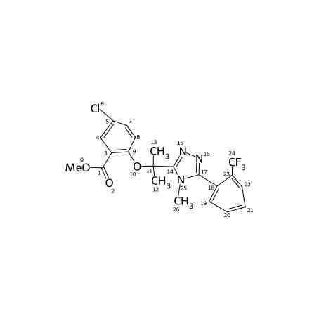 COC(=O)c1cc(Cl)ccc1OC(C)(C)c1nnc(-c2ccccc2C(F)(F)F)n1C